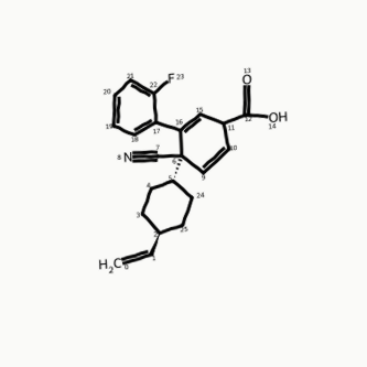 C=C[C@H]1CC[C@H](C2(C#N)C=CC(C(=O)O)C=C2c2ccccc2F)CC1